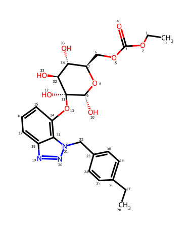 CCOC(=O)OC[C@H]1O[C@H](O)[C@@](O)(Oc2cccc3nnn(Cc4ccc(CC)cc4)c23)[C@@H](O)[C@@H]1O